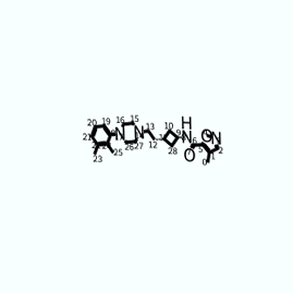 Cc1cnoc1C(=O)N[C@H]1C[C@@H](CCN2CCN(c3cccc(C)c3C)CC2)C1